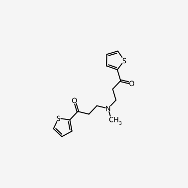 CN(CCC(=O)c1cccs1)CCC(=O)c1cccs1